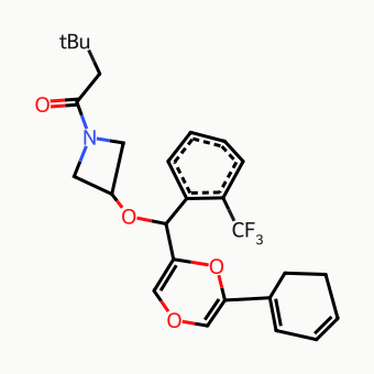 CC(C)(C)CC(=O)N1CC(OC(C2=COC=C(C3=CC=CCC3)O2)c2ccccc2C(F)(F)F)C1